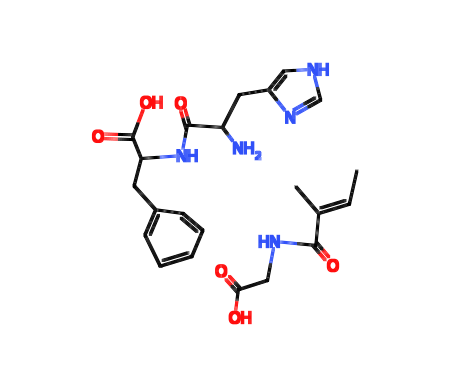 C/C=C(\C)C(=O)NCC(=O)O.NC(Cc1c[nH]cn1)C(=O)NC(Cc1ccccc1)C(=O)O